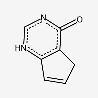 O=c1nc[nH]c2c1CC=C2